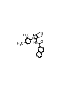 Cc1ccc(-n2nc3c(c2NC(=O)c2ccc4ccccc4c2)CSC3)c(C)c1